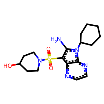 Nc1c(S(=O)(=O)N2CCC(O)CC2)c2nccnc2n1C1CCCCC1